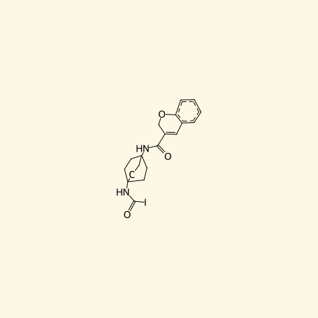 O=C(I)NC12CCC(NC(=O)C3=Cc4ccccc4OC3)(CC1)CC2